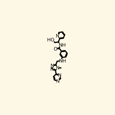 Cn1c(CNc2cccc(C(=O)NC(CO)c3ccccn3)c2)nnc1-c1ccncn1